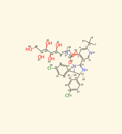 CCOc1cc(C(C)(C)C)ncc1C1=N[C@@](C)(c2ccc(Cl)cc2)[C@@](C)(c2ccc(Cl)cc2)N1OC(=O)N(C)C[C@H](O)[C@@H](O)[C@H](O)[C@H](O)CO